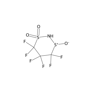 O=S1(=O)N[S+]([O-])C(F)(F)C(F)(F)C1(F)F